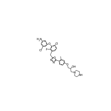 Cc1cc(OC[C@@H](O)CN2CCNCC2)ccc1-c1nnc(Cc2ccc(Cl)c(Oc3cc(N)cc(Cl)c3)c2F)o1